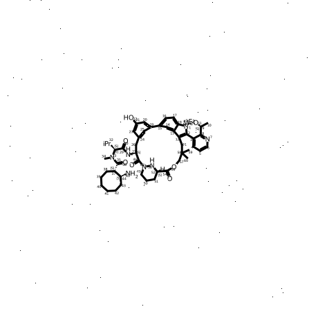 CCn1c(-c2cccnc2[C@H](C)OC)c2c3cc(ccc31)-c1cc(O)cc(c1)C[C@H](NC(=O)[C@H](C(C)C)N(C)C(=O)[C@H]1CCCCCC[C@@H]1N)C(=O)N1CCC[C@H](N1)C(=O)OCC(C)(C)C2